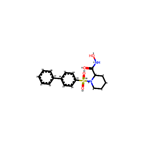 O=C(NO)C1CCCCN1S(=O)(=O)c1ccc(-c2ccccc2)cc1